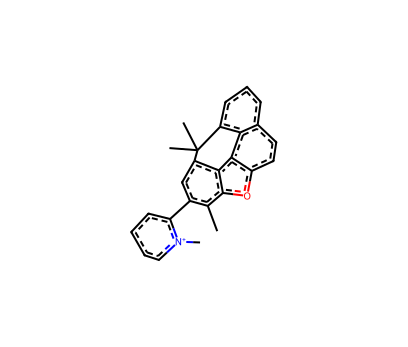 Cc1c(-c2cccc[n+]2C)cc2c3c1oc1ccc4cccc(c4c13)C2(C)C